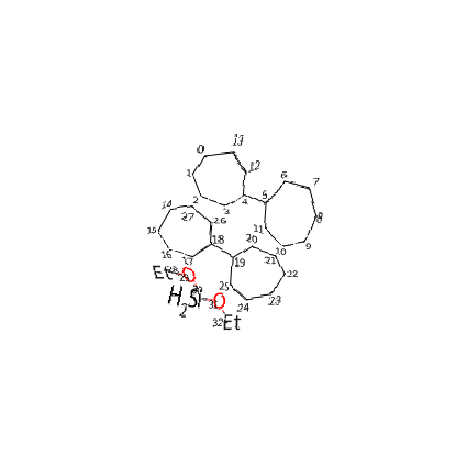 C1CCCC(C2CCCCCC2)CC1.C1CCCC(C2CCCCCC2)CC1.CCO[SiH2]OCC